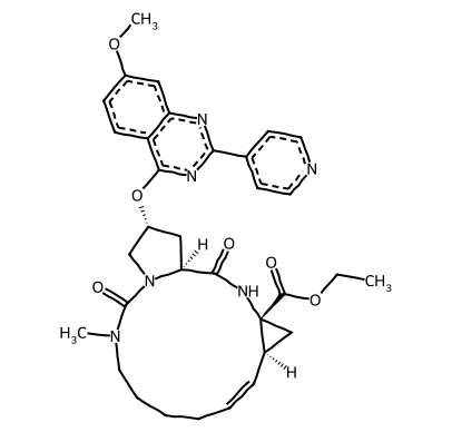 CCOC(=O)[C@@]12C[C@H]1/C=C\CCCCN(C)C(=O)N1C[C@H](Oc3nc(-c4ccncc4)nc4cc(OC)ccc34)C[C@H]1C(=O)N2